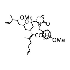 C=CCC/C(C)=C(\C(=O)O)[C@@H]1C[C@@H](CC[C@H](C)C=C)O[C@@](OC)([C@@H]2CSC(=O)N2Cc2ccc(OC)cc2)C1